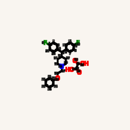 Fc1ccc(C(c2ccc(F)cc2)C2CCN(CCOc3ccccc3)CC2)cc1.O=C(O)C(=O)O